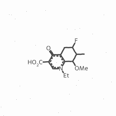 CCn1cc(C(=O)O)c(=O)c2c1C(OC)C(C)C(F)C2